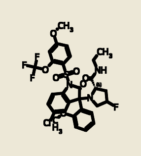 CCNC(=O)[C@@H]1CC(F)CN1C1(c2ccccc2OC)C(=O)N(S(=O)(=O)c2ccc(OC)cc2OC(F)(F)F)c2ccc(Cl)cc21